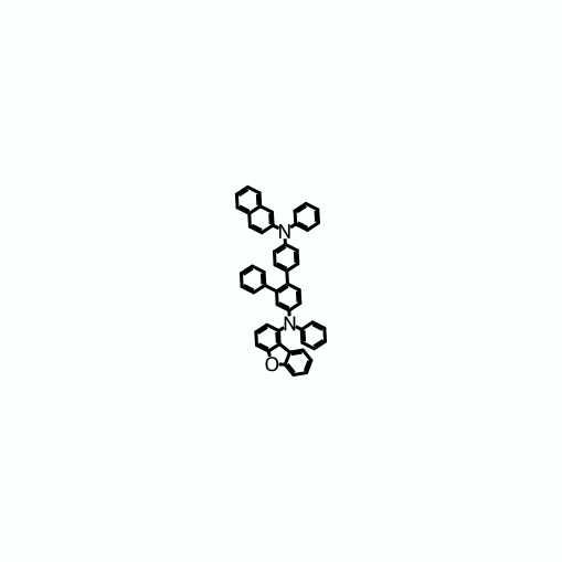 c1ccc(-c2cc(N(c3ccccc3)c3cccc4oc5ccccc5c34)ccc2-c2ccc(N(c3ccccc3)c3ccc4ccccc4c3)cc2)cc1